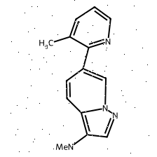 CNc1cnn2cc(-c3ncccc3C)ccc12